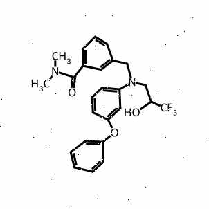 CN(C)C(=O)c1cccc(CN(CC(O)C(F)(F)F)c2cccc(Oc3ccccc3)c2)c1